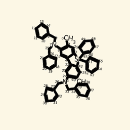 Cc1cc2c(cc1N(Cc1ccccc1)Cc1ccccc1)-c1cc(N(Cc3ccccc3)Cc3ccccc3)c(C)cc1[Si]2(c1ccccc1)c1ccccc1